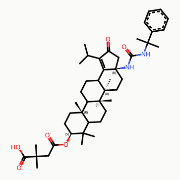 CC(C)C1=C2C3CCC4[C@@]5(C)CC[C@H](OC(=O)CC(C)(C)C(=O)O)C(C)(C)C5CC[C@@]4(C)[C@]3(C)CC[C@@]2(NC(=O)NC(C)(C)c2ccccc2)CC1=O